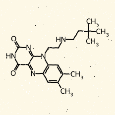 Cc1cc2nc3c(=O)[nH]c(=O)nc-3n(CCNCCC(C)(C)C)c2cc1C